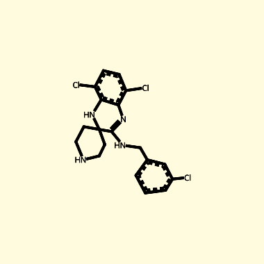 Clc1cccc(CNC2=Nc3c(Cl)ccc(Cl)c3NC23CCNCC3)c1